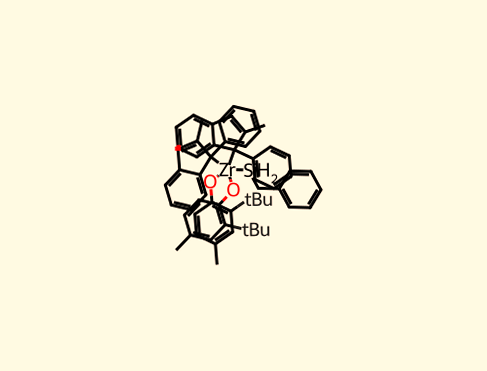 CC1=Cc2ccccc2[C]1(c1ccccc1)[Zr]([O]c1ccc(C)cc1C(C)(C)C)([O]c1ccc(C)cc1C(C)(C)C)([SiH2]Cc1ccccc1)[C]1(c2ccccc2)C(C)=Cc2ccccc21